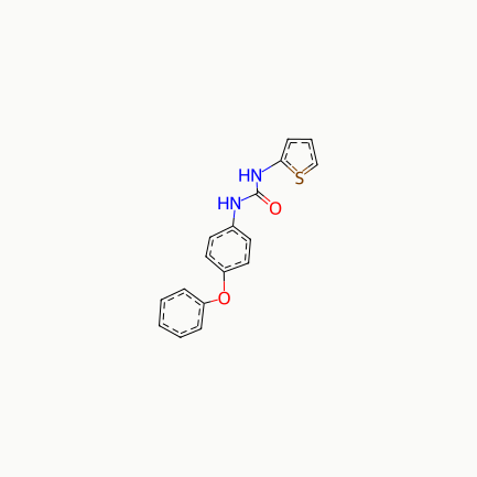 O=C(Nc1ccc(Oc2ccccc2)cc1)Nc1cccs1